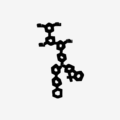 CC(C)(C)c1cc(-c2ccc(N(c3cccc(-c4ccc(C5CCCCC5)cc4)c3)c3ccc4c(c3)C(C)(C)c3ccccc3-4)cc2)cc(-c2cc(-c3cc(C(C)(C)C)cc(C(C)(C)C)c3)cc(C(C)(C)C)c2)c1